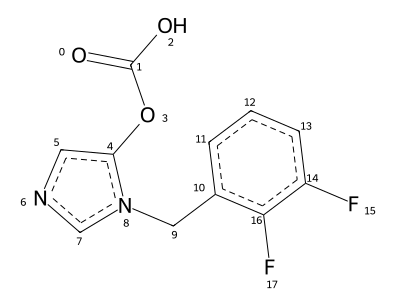 O=C(O)Oc1cncn1Cc1cccc(F)c1F